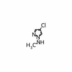 CNn1cc(Cl)cn1